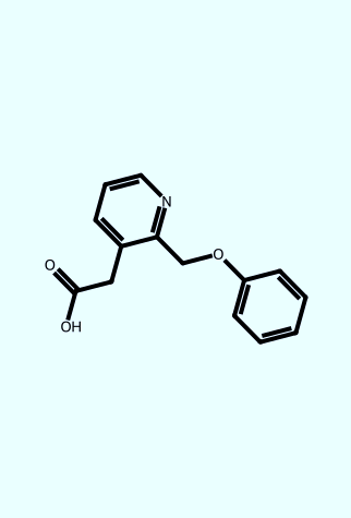 O=C(O)Cc1cccnc1COc1ccccc1